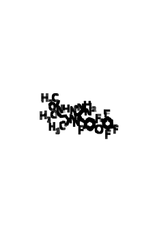 C=CC(=O)N[C@@H](C)CCC(CC)n1nc(-c2ccc(Oc3c(F)c(F)cc(F)c3F)cc2F)c2c(N)ncnc21